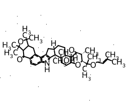 CC(C)=CCOC(C)(C)[C@H]1OC2CC[C@@]3(C)[C@@](O)(CC[C@H]4Cc5c([nH]c6ccc7c(c56)CC5C(C7=O)C(C)(C)OC5(C)C)[C@@]43C)[C@]23O[C@@H]3[C@@H]1C